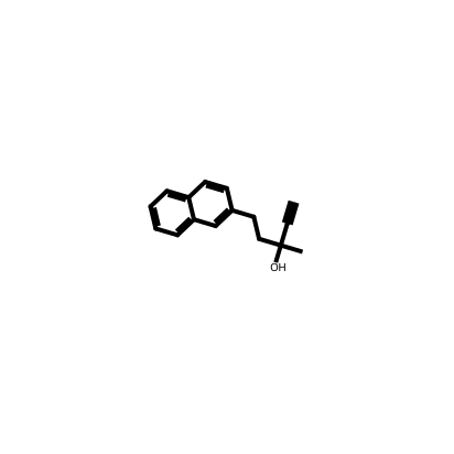 C#CC(C)(O)CCc1ccc2ccccc2c1